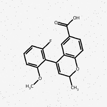 COc1cccc(F)c1C1=CC(C)Oc2ccc(C(=O)O)cc21